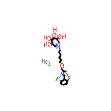 Cl.O[C@H]1[C@H](O)[C@@H](O)CN(CCCCCCOCc2csc(-c3c(F)cccc3F)n2)C[C@@H]1O